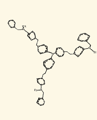 CCN(Cc1ccccc1)c1ccc(CCc2ccc(N(c3ccc(CCc4ccc(N(CC)Cc5ccccc5)cc4)cc3)c3ccc(CCc4ccc(N(CC)Cc5ccccc5)cc4)cc3)cc2)cc1